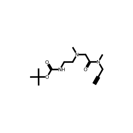 C#CCN(C)C(=O)CN(C)CCNC(=O)OC(C)(C)C